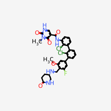 COc1cc(-c2cccc(-c3cccc(NC(=O)c4c[nH]c(=O)n(C)c4=O)c3Cl)c2Cl)cc(F)c1CN[C@H]1CCC(=O)NC1